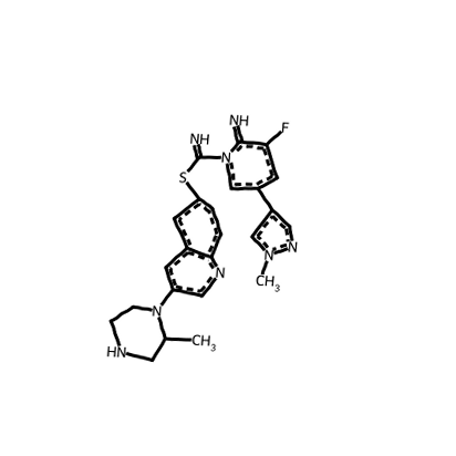 CC1CNCCN1c1cnc2ccc(SC(=N)n3cc(-c4cnn(C)c4)cc(F)c3=N)cc2c1